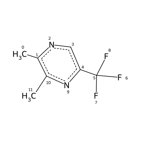 Cc1ncc(C(F)(F)F)nc1C